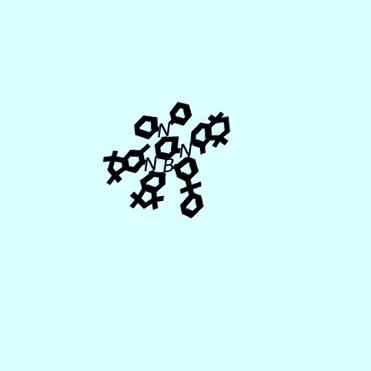 Cc1cc2c(cc1N1c3cc4c(cc3B3c5cc(C(C)(C)c6ccccc6)ccc5N(c5ccc6c(c5C)C(C)(C)CCC6(C)C)c5cc(N(c6ccccc6)c6ccccc6)cc1c53)C(C)(C)CC4(C)C)C(C)(C)CC2(C)C